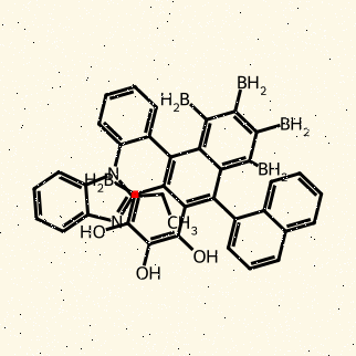 Bc1c(B)c(B)c2c(-c3cccc4ccccc34)c3c(O)c(O)c(O)c(B)c3c(-c3ccccc3-n3c(CC)nc4ccccc43)c2c1B